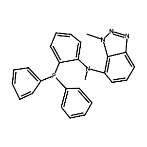 CN(c1ccccc1P(c1ccccc1)c1ccccc1)c1cccc2nnn(C)c12